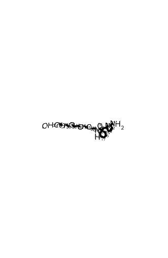 Nc1cccc(CC2(C(=O)NCCOCCOCCOCCOCC=O)CCCCC2)n1